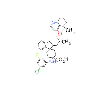 C[C@@H](COc1ccnc2c1[C@H](C)CCC2)CC1Cc2ccccc2C12CCC(Nc1cc(F)cc(Cl)c1)(C(=O)O)CC2